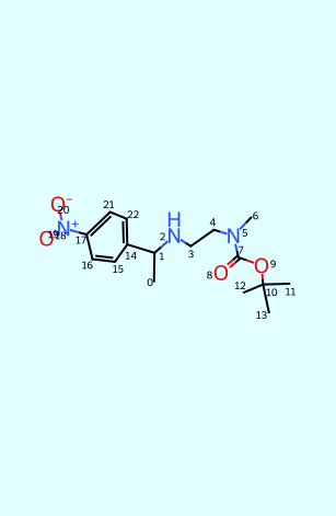 CC(NCCN(C)C(=O)OC(C)(C)C)c1ccc([N+](=O)[O-])cc1